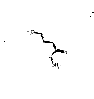 CCCCC(=O)O[SiH2]